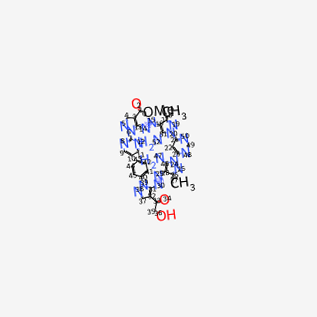 COC(=O)c1cnn(-c2ncccn2)c1/N=N/c1c(C)nn(-c2cc(-n3nc(C)c(/N=N/c4c(C(=O)CO)cnn4-c4ccccc4)c3N)ncn2)c1N